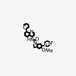 COc1cc2c(cc1N1CCN(C)CC1)N(C(=O)Nc1ccnc3c(-c4ccccc4)cccc13)CC2